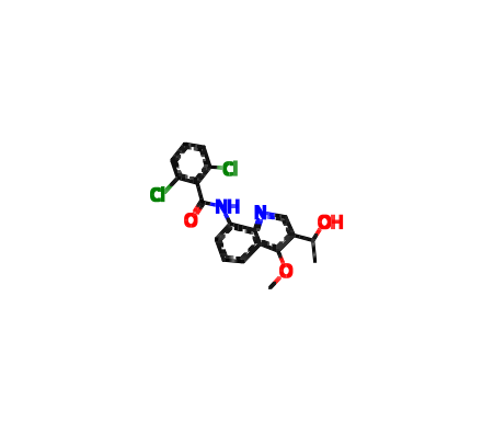 COc1c(C(C)O)cnc2c(NC(=O)c3c(Cl)cccc3Cl)cccc12